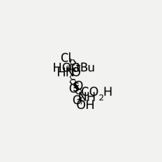 CC(C)(C)OC(=O)C(NCCc1ccc(S(=O)(=O)c2ccc(NC(=O)CO)c(C(=O)O)c2)cc1)[C@H](O)c1cccc(Cl)c1